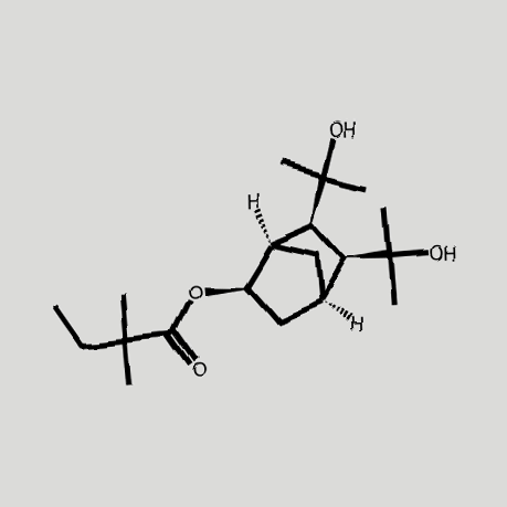 CCC(C)(C)C(=O)O[C@@H]1C[C@H]2C[C@@H]1[C@@H](C(C)(C)O)[C@H]2C(C)(C)O